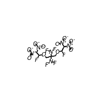 O=[N+]([O-])C(C(F)OCC(COC(F)C([N+](=O)[O-])[N+](=O)[O-])(N(F)F)N(F)F)[N+](=O)[O-]